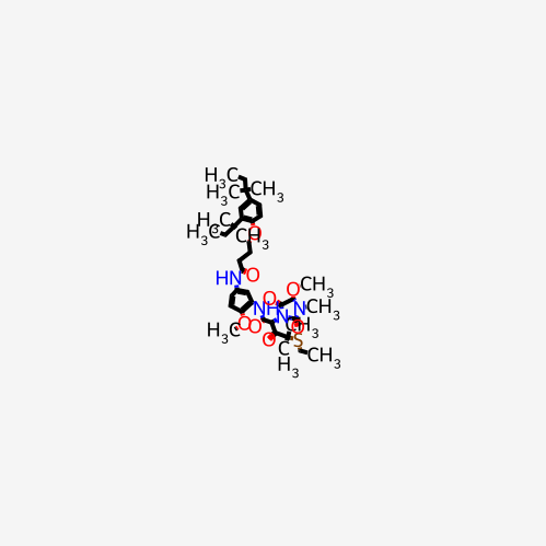 CCSC(C)(C)C(=O)C(C(=O)Nc1cc(NC(=O)CCCOc2ccc(C(C)(C)CC)cc2C(C)(C)CC)ccc1OC)N1C(=O)C(OC)N(C)C1=O